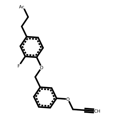 C#CCOc1cccc(COc2ccc(CCC(C)=O)cc2F)c1